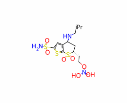 CC(C)CN[C@H]1C[C@H](CCON(O)O)S(=O)(=O)c2sc(S(N)(=O)=O)cc21